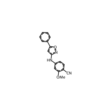 COc1cc(Nc2cc(-c3ccccc3)on2)ccc1C#N